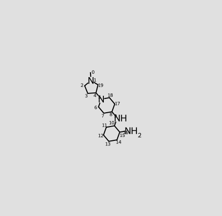 CN1CCC(N2CCC(NC3CCCCC3N)CC2)C1